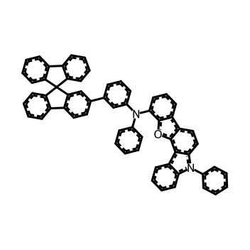 c1ccc(N(c2cccc(-c3ccc4c(c3)C3(c5ccccc5-c5ccccc53)c3ccccc3-4)c2)c2cccc3c2oc2c3ccc3c2c2ccccc2n3-c2ccccc2)cc1